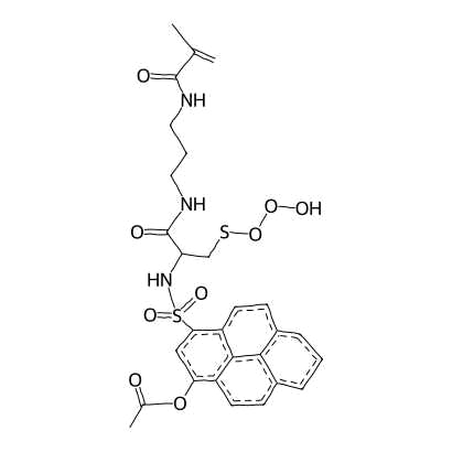 C=C(C)C(=O)NCCCNC(=O)C(CSOOO)NS(=O)(=O)c1cc(OC(C)=O)c2ccc3cccc4ccc1c2c34